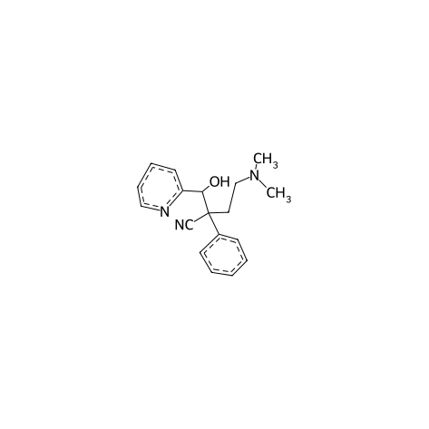 CN(C)CCC(C#N)(c1ccccc1)C(O)c1ccccn1